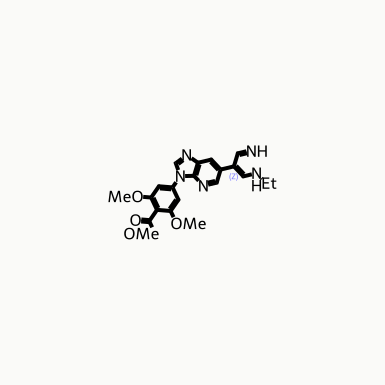 CCN/C=C(\C=N)c1cnc2c(c1)ncn2-c1cc(OC)c(C(=O)OC)c(OC)c1